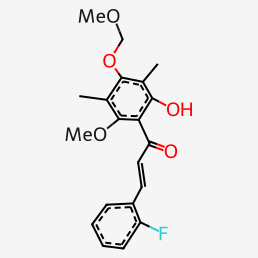 COCOc1c(C)c(O)c(C(=O)C=Cc2ccccc2F)c(OC)c1C